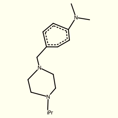 CC(C)N1CCN(Cc2ccc(N(C)C)cc2)CC1